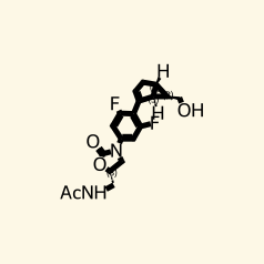 CC(=O)NC[C@H]1CN(c2cc(F)c(C3=CC[C@@H]4[C@@H](CO)[C@@H]34)c(F)c2)C(=O)O1